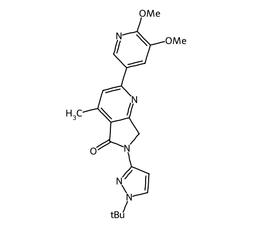 COc1cc(-c2cc(C)c3c(n2)CN(c2ccn(C(C)(C)C)n2)C3=O)cnc1OC